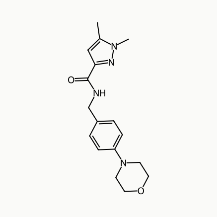 Cc1cc(C(=O)NCc2ccc(N3CCOCC3)cc2)nn1C